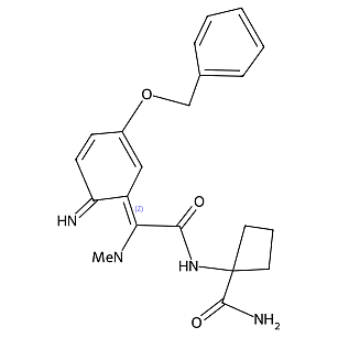 CN/C(C(=O)NC1(C(N)=O)CCC1)=C1/C=C(OCc2ccccc2)C=CC1=N